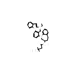 CCN(C(=O)c1ccccc1N1C(=O)C(NC(=O)CC(C)(C)N)CCc2ccccc21)c1cc2ccccc2n1C